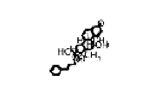 C[C@]12C=CC(=O)C=C1CC[C@H]1[C@@H]3C[C@H]4CN(CCCc5ccccc5)O[C@@]4(C(=O)CO)[C@@]3(C)C[C@H](O)[C@@]12Cl